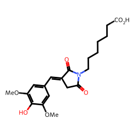 COc1cc(/C=C2\CC(=O)N(CCCCCCC(=O)O)C2=O)cc(OC)c1O